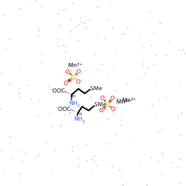 CSCC[C@H](N)C(=O)[O-].CSCC[C@H](N)C(=O)[O-].O=S(=O)([O-])[O-].O=S(=O)([O-])[O-].[Mn+2].[Mn+2].[Mn+2]